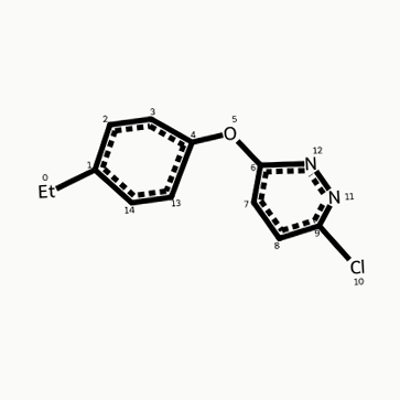 [CH2]Cc1ccc(Oc2ccc(Cl)nn2)cc1